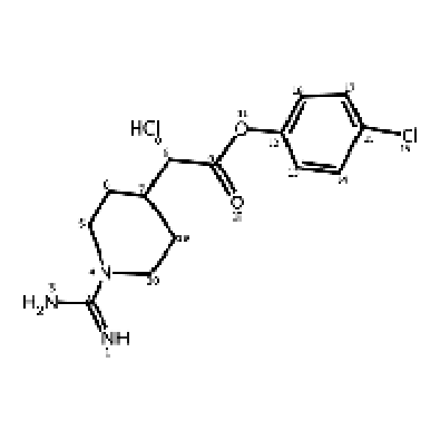 Cl.N=C(N)N1CCC(CC(=O)Oc2ccc(Cl)cc2)CC1